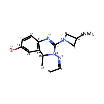 C/C=N\N1C(N2CC(NC)C2)=Nc2ccc(Br)cc2C1C